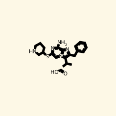 CC(C)c1c(Cc2ccccc2)nc2c(N)nc(SC3CCCNC3)cn12.O=CO